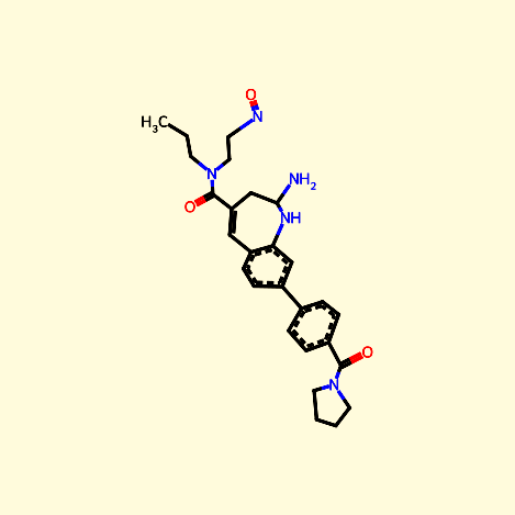 CCCN(CCN=O)C(=O)C1=Cc2ccc(-c3ccc(C(=O)N4CCCC4)cc3)cc2NC(N)C1